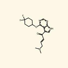 CN(C)CC=CC(=O)c1c[nH]c2ncnc(OC3CCC(F)(F)CC3)c12